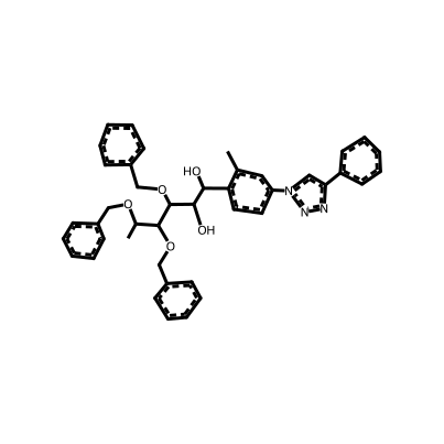 Cc1cc(-n2cc(-c3ccccc3)nn2)ccc1C(O)C(O)C(OCc1ccccc1)C(OCc1ccccc1)C(C)OCc1ccccc1